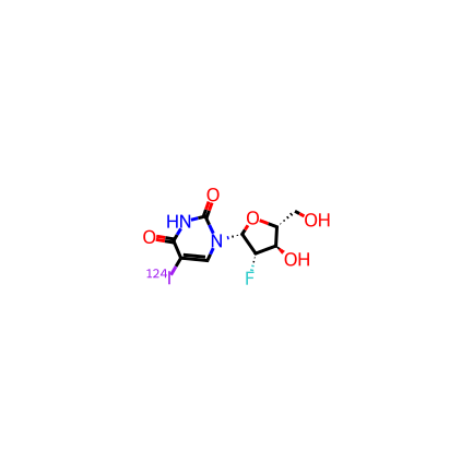 O=c1[nH]c(=O)n([C@@H]2O[C@H](CO)[C@@H](O)[C@@H]2F)cc1[124I]